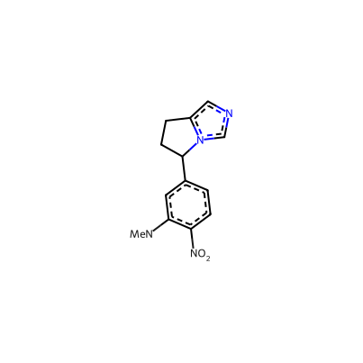 CNc1cc(C2CCc3cncn32)ccc1[N+](=O)[O-]